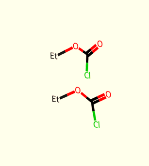 CCOC(=O)Cl.CCOC(=O)Cl